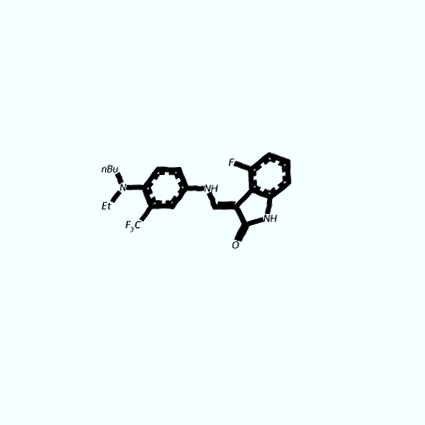 CCCCN(CC)c1ccc(N/C=C2/C(=O)Nc3cccc(F)c32)cc1C(F)(F)F